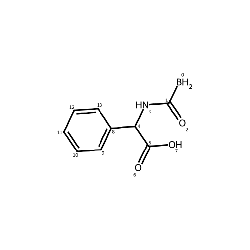 BC(=O)NC(C(=O)O)c1ccccc1